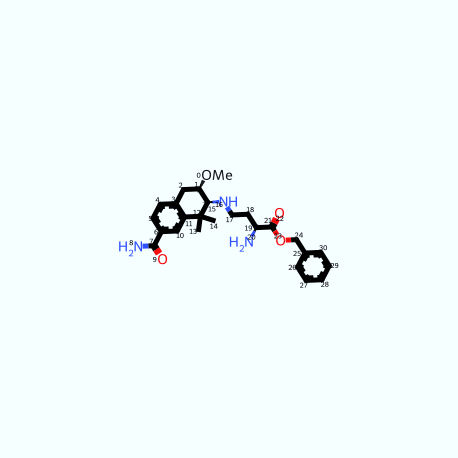 CO[C@@H]1Cc2ccc(C(N)=O)cc2C(C)(C)[C@@H]1NCC[C@H](N)C(=O)OCc1ccccc1